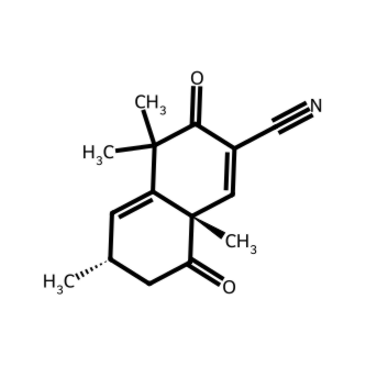 C[C@@H]1C=C2C(C)(C)C(=O)C(C#N)=C[C@]2(C)C(=O)C1